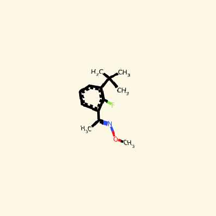 CON=C(C)c1cccc(C(C)(C)C)c1F